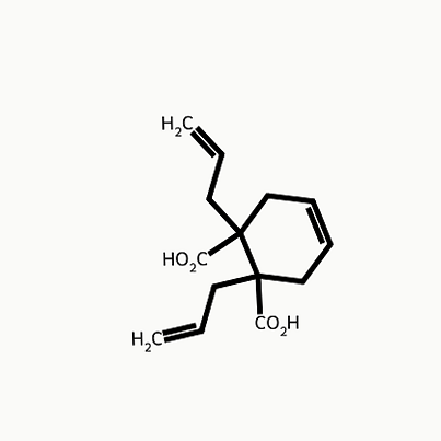 C=CCC1(C(=O)O)CC=CCC1(CC=C)C(=O)O